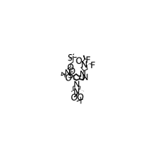 C=C(F)C(=O)N1C[C@H](n2ncc3c(N4C[C@H](C)N(C(=O)OC(C)(C)C)[C@@H](C)C4)cc(S(=O)(=O)N(COCC[Si](C)(C)C)C4(C)CC4)cc32)C[C@H]1CF